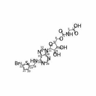 O=C(O)CNC(=O)OCC1OC(n2cnc3c(NCc4ccc(Br)s4)ncnc32)C(O)C1O